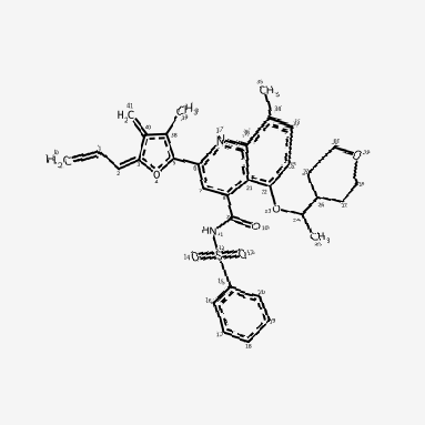 C=C/C=c1/oc(-c2cc(C(=O)NS(=O)(=O)c3ccccc3)c3c(OC(C)C4CCOCC4)ccc(C)c3n2)c(C)c1=C